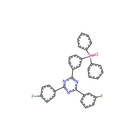 O=P(c1ccccc1)(c1ccccc1)c1cccc(-c2nc(-c3ccc(F)cc3)nc(-c3cccc(F)c3)n2)c1